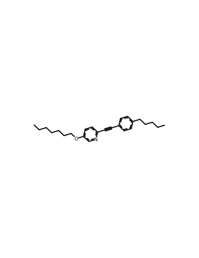 CCCCCCCOc1ccc(C#Cc2ccc(CCCCC)cc2)nc1